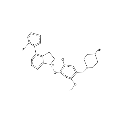 CCOc1cc(O[C@H]2CCc3c(-c4ccccc4F)cccc32)c(Cl)cc1CN1CCC(O)CC1